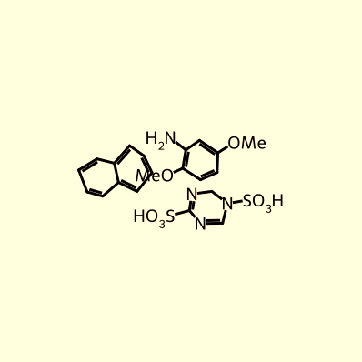 COc1ccc(OC)c(N)c1.O=S(=O)(O)C1=NCN(S(=O)(=O)O)C=N1.c1ccc2ccccc2c1